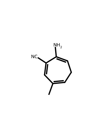 CC1=CCC=C(N)C(C#N)=C1